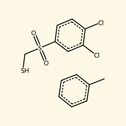 Cc1ccccc1.O=S(=O)(CS)c1ccc(Cl)c(Cl)c1